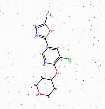 Cc1nnc(-c2cnc(OC3CCOCC3)c(Br)c2)o1